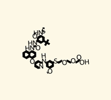 COc1cc(Nc2cc(Oc3ccc(NC(=O)Nc4cc(C(C)(C)C)cc(NSC)c4OC)c4ccccc34)ccn2)cc(SCCOCCOCC(=O)O)c1